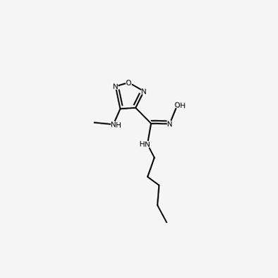 CCCCCN/C(=N/O)c1nonc1NC